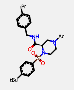 CC(=O)N1CCN(S(=O)(=O)c2ccc(C(C)(C)C)cc2)[C@@H](C(=O)NCc2ccc(C(C)C)cc2)C1